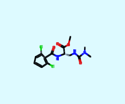 COC(=O)[C@H](CNC(=O)N(C)C)NC(=O)c1c(Cl)cccc1Cl